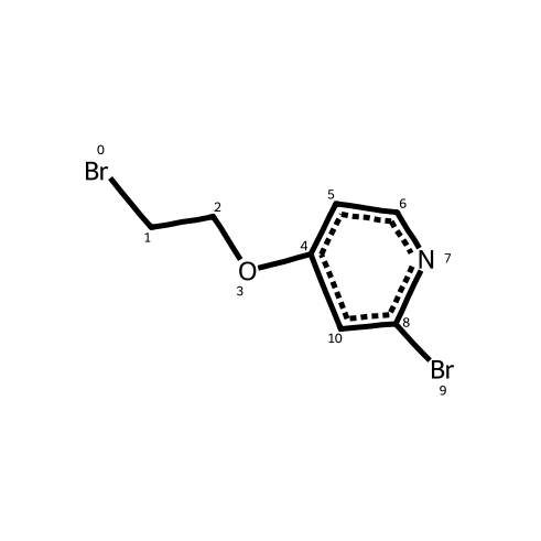 BrCCOc1ccnc(Br)c1